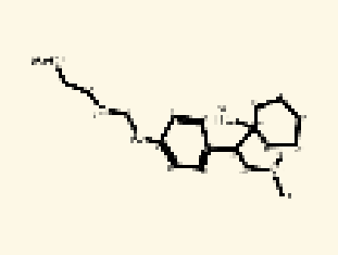 COCCOCOc1ccc(C(CN(C)C)C2(O)CCCCC2)cc1